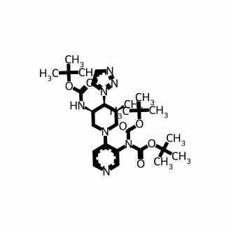 C[C@H]1CN(c2ccncc2N(C(=O)OC(C)(C)C)C(=O)OC(C)(C)C)C[C@@H](NC(=O)OC(C)(C)C)[C@H]1n1ccnn1